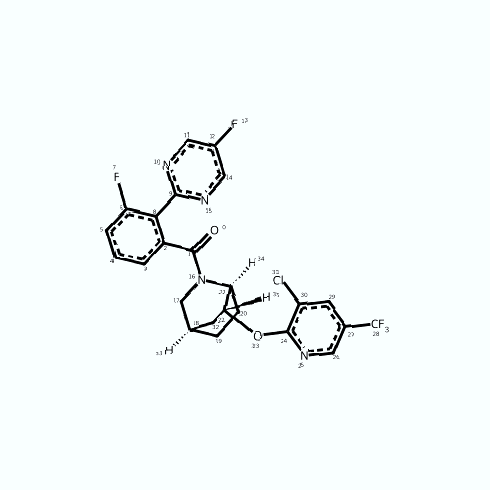 O=C(c1cccc(F)c1-c1ncc(F)cn1)N1C[C@@H]2CC[C@H]1[C@H](Oc1ncc(C(F)(F)F)cc1Cl)C2